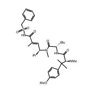 CN[C@H](C(=O)N[C@H](C(=O)N(C)[C@H](/C=C(\C)C(=O)NS(=O)(=O)Cc1ccccc1)C(C)C)C(C)(C)C)C(C)(C)c1ccc(OC)cc1